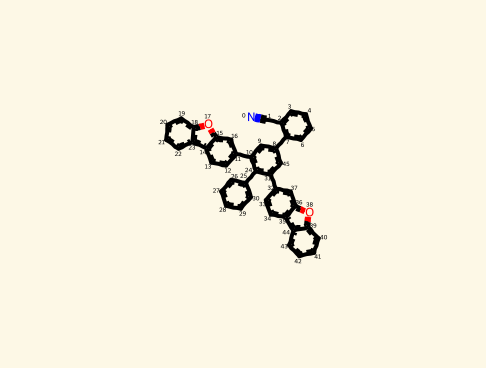 N#Cc1ccccc1-c1cc(-c2ccc3c(c2)oc2ccccc23)c(-c2ccccc2)c(-c2ccc3c(c2)oc2ccccc23)c1